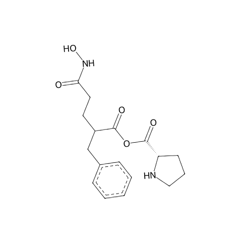 O=C(CCC(Cc1ccccc1)C(=O)OC(=O)[C@@H]1CCCN1)NO